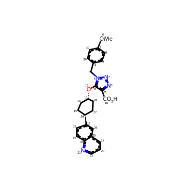 COc1ccc(Cn2nnc(C(=O)O)c2O[C@H]2CC[C@H](c3ccc4ncccc4c3)CC2)cc1